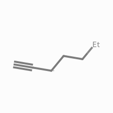 C#C[CH]CCCC